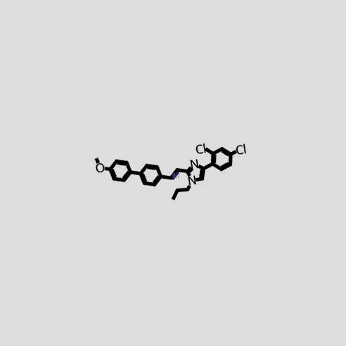 CCCn1cc(-c2ccc(Cl)cc2Cl)nc1/C=C/c1ccc(-c2ccc(OC)cc2)cc1